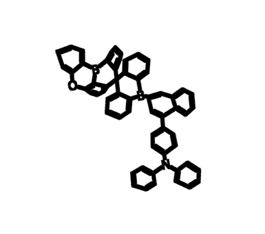 c1ccc(N(c2ccccc2)c2ccc(-c3cc(B4c5ccccc5C5(c6ccccc64)c4ccccc4B4c6ccccc6Oc6cccc5c64)cc4ccccc34)cc2)cc1